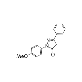 COc1ccc(N2N=C(c3ccccc3)CC2=O)cc1